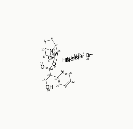 Br.Br.Br.Br.CC(C)[N+]1(C)C2CCC1CC(OC(=O)C(CO)c1ccccc1)C2.[Br-]